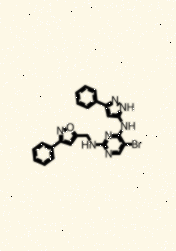 Brc1cnc(NCc2cc(-c3ccccc3)no2)nc1Nc1cc(-c2ccccc2)n[nH]1